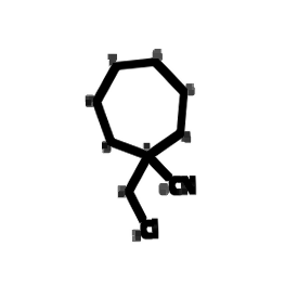 N#CC1(CCl)CCCCCC1